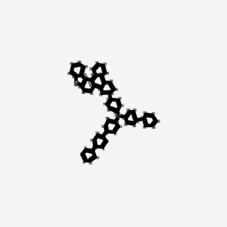 c1ccc(-c2ccc(-c3ccc(N(c4ccc(-c5ccccc5)cc4)c4ccc(-c5ccc6c7ccccc7c7c(ccc8oc9ccccc9c87)c6c5)cc4)cc3)cc2)cc1